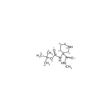 CNC(=O)C1(NC(=O)OC(C)(C)C)CCCNC1